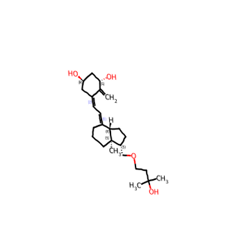 C=C1/C(=C\C=C2/CCC[C@]3(C)[C@@H](COCCC(C)(C)O)CC[C@@H]23)C[C@@H](O)C[C@@H]1O